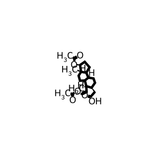 CC(=O)O/C=C\[C@]1(C)[C@H](CC(=O)O)CC[C@@H]2[C@@H]1CC[C@]1(C)[C@@H](OC(C)=O)CC[C@@H]21